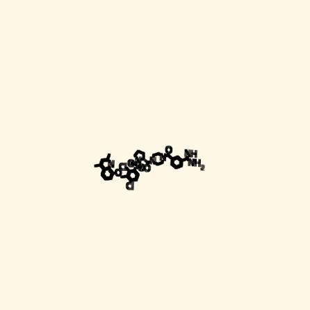 Cc1cc(C)c2cccc(OCc3c(Cl)ccc(S(=O)(=O)N4CCC[C@H]4C(=O)N4CCN(C(=O)c5cccc(C(=N)N)c5)CC4)c3Cl)c2n1